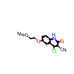 COCCOc1ccc2[nH]c(=O)c(C#N)c(Cl)c2c1